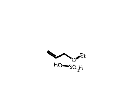 O=S(=O)(O)O.[CH2]COCC=C